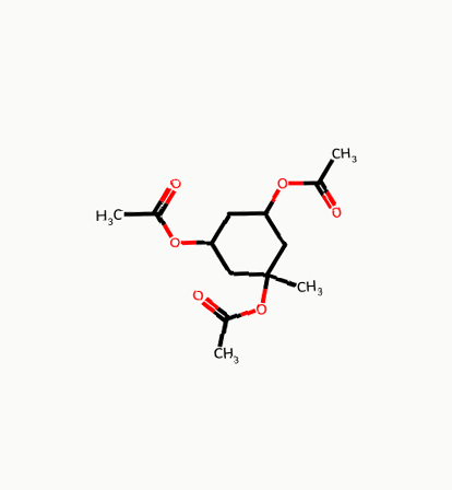 CC(=O)OC1CC(OC(C)=O)CC(C)(OC(C)=O)C1